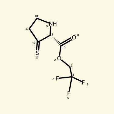 O=C(OCC(F)(F)F)[C@H]1NCCC1=S